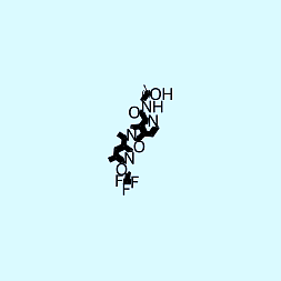 Cc1cc(C(C)N2Cc3c(ccnc3C(=O)NC[C@H](C)O)C2=O)cnc1OCC(F)(F)F